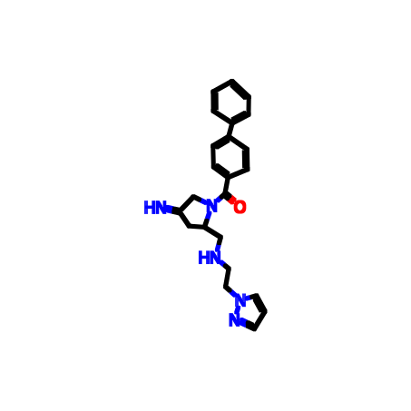 N=C1CC(CNCCn2cccn2)N(C(=O)c2ccc(-c3ccccc3)cc2)C1